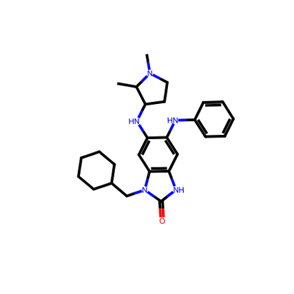 CC1C(Nc2cc3c(cc2Nc2ccccc2)[nH]c(=O)n3CC2CCCCC2)CCN1C